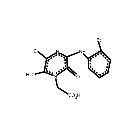 CCc1ccccc1Nc1nc(Cl)c(C)n(CC(=O)O)c1=O